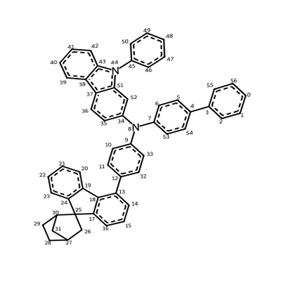 c1ccc(-c2ccc(N(c3ccc(-c4cccc5c4-c4ccccc4C54CC5CCC4C5)cc3)c3ccc4c5ccccc5n(-c5ccccc5)c4c3)cc2)cc1